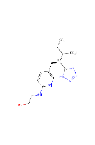 O=C(O)C(CC(F)(F)F)[C@H](Cc1ccc(NCCO)nc1)c1nnn[nH]1